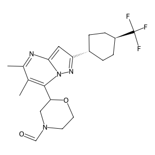 Cc1nc2cc([C@H]3CC[C@H](C(F)(F)F)CC3)nn2c(C2CN(C=O)CCO2)c1C